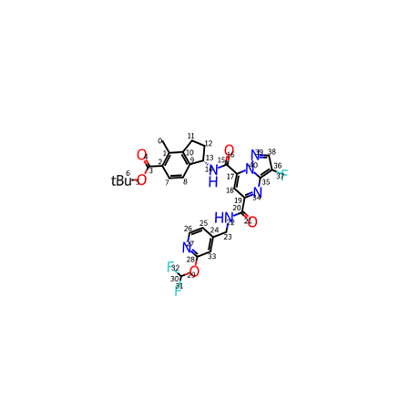 Cc1c(C(=O)OC(C)(C)C)ccc2c1CC[C@@H]2NC(=O)c1cc(C(=O)NCc2ccnc(OC(F)F)c2)nc2c(F)cnn12